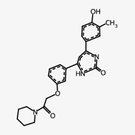 Cc1cc(-c2cc(-c3cccc(OCC(=O)N4CCCCC4)c3)[nH]c(=O)n2)ccc1O